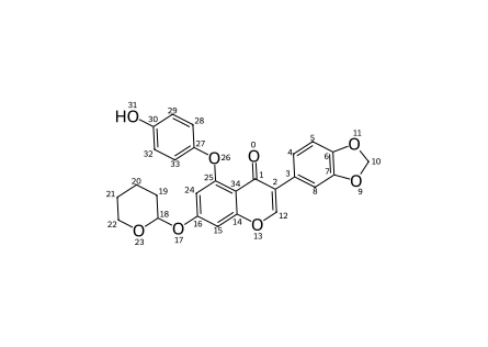 O=c1c(-c2ccc3c(c2)OCO3)coc2cc(OC3CCCCO3)cc(Oc3ccc(O)cc3)c12